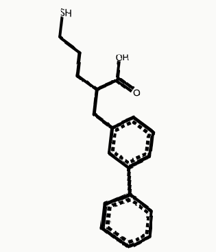 O=C(O)C(CCCS)Cc1cccc(-c2ccccc2)c1